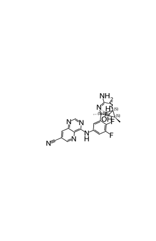 C[C@@H](O)[C@@]12SC(N)=N[C@](C)(c3cc(Nc4ncnc5cc(C#N)cnc45)cc(F)c3F)[C@@H]1[C@@H]2C